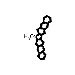 Cn1c2cc3cc4ccccc4cc3cc2c2cc3cc4ccccc4cc3cc21